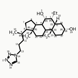 CC[C@H]1[C@@H](O)C2C3CC[C@H]([C@H](C)CCCn4cnnn4)[C@@]3(C)CCC2[C@@]2(C)CC[C@@H](O)C[C@@H]12